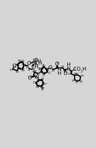 CC(C)(C)[Si](C)(C)O[C@@H](CS[C@H]1C(=O)N(c2ccc(F)cc2)[C@@H]1c1ccc(OCC(=O)NCC(=O)N[C@H](CC2CCCCC2)C(=O)O)cc1)c1ccc2c(c1)CCO2